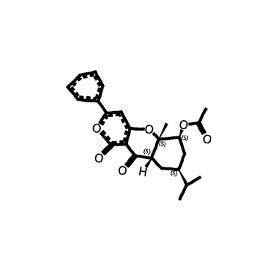 CC(=O)O[C@H]1C[C@@H](C(C)C)C[C@@H]2C(=O)c3c(cc(-c4ccccc4)oc3=O)O[C@]12C